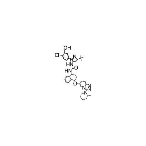 CC1CCCCN1c1nnc2ccc(O[C@@H]3CC[C@H](NC(=O)Nc4cc(C(C)(C)C)nn4-c4ccc(Cl)c(CO)c4)c4ccccc43)cn12